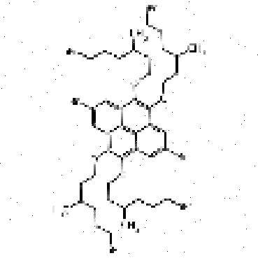 CC(C)CCCC(C)CCOc1c(OCCC(C)CCCC(C)C)c2cc(Br)cc3c(OCCC(C)CCCC(C)C)c(OCCC(C)CCCC(C)C)c4cc(Br)cc1c4c23